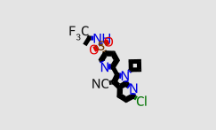 C[C@H](NS(=O)(=O)c1ccc(-c2c(C#N)c3ccc(Cl)nc3n2C2CCC2)nc1)C(F)(F)F